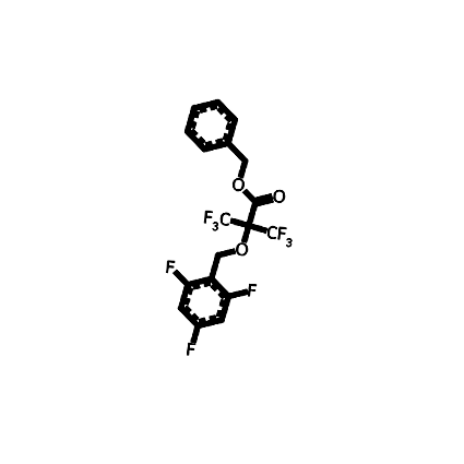 O=C(OCc1ccccc1)C(OCc1c(F)cc(F)cc1F)(C(F)(F)F)C(F)(F)F